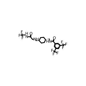 O=C(CNC[C@H]1CC[C@H](CNC(=O)c2cc(C(F)(F)F)cc(C(F)(F)F)c2)CC1)NCC(F)(F)F